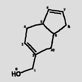 OCC1=CCC2C=CCC2C1